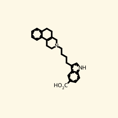 O=C(O)c1ccc2[nH]cc(CCCCN3CCC4=C(CCc5ccccc54)C3)c2c1